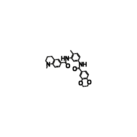 Cc1ccc(NC(=O)c2ccc3c(c2)OCCO3)cc1NC(=O)c1ccc2c(c1)CCCN2C